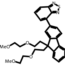 COCCOCCC1(CCOCCOC)c2ccccc2-c2ccc(-c3cccc4nsnc34)cc21